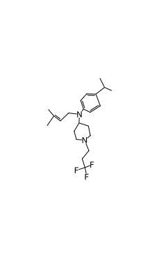 CC(C)=CCN(c1ccc(C(C)C)cc1)C1CCN(CCC(F)(F)F)CC1